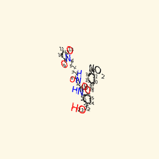 O=C(CCCCCN1C(=O)C=CC1=O)NCC(=O)Nc1cc(CO)ccc1OCc1ccc([N+](=O)[O-])cc1